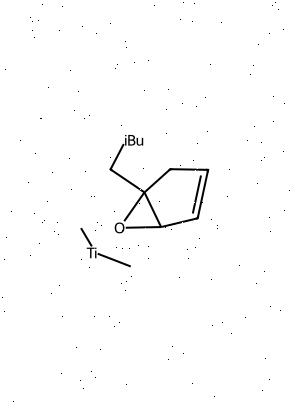 CCC(C)CC12CC=CC1O2.[CH3][Ti][CH3]